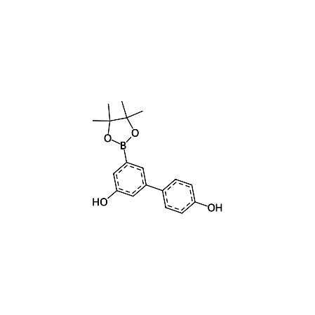 CC1(C)OB(c2cc(O)cc(-c3ccc(O)cc3)c2)OC1(C)C